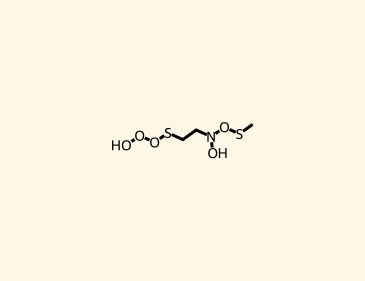 CSON(O)CCSOOO